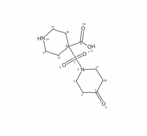 O=C1CCN(S(=O)(=O)C2(C(=O)O)CCNCC2)CC1